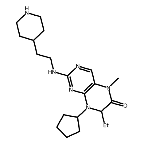 CCC1C(=O)N(C)c2cnc(NCCC3CCNCC3)nc2N1C1CCCC1